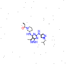 C=CC(=O)N1CCCC(Nc2nc(Nc3cnn(CC(C)C)c3)nc3[nH]nc(C)c23)C1